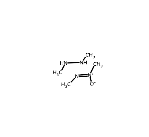 CN=[N+](C)[O-].CNNC